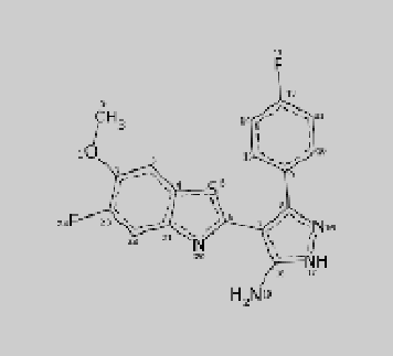 COc1cc2sc(-c3c(-c4ccc(F)cc4)n[nH]c3N)nc2cc1F